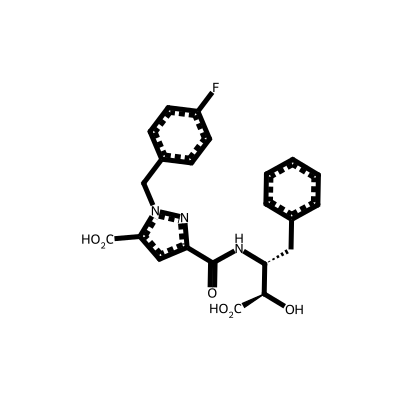 O=C(N[C@H](Cc1ccccc1)[C@@H](O)C(=O)O)c1cc(C(=O)O)n(Cc2ccc(F)cc2)n1